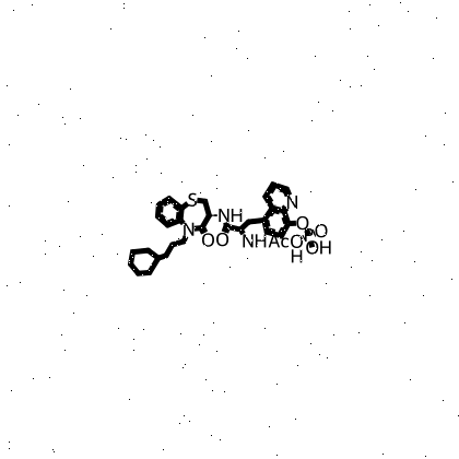 CC(=O)NC(Cc1ccc(OP(=O)(O)O)c2ncccc12)C(=O)N[C@H]1CSc2ccccc2N(CCCC2CCCCC2)C1=O